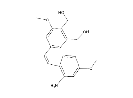 COc1ccc(/C=C\c2cc(CO)c(CO)c(OC)c2)c(N)c1